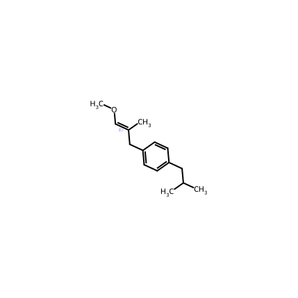 CO/C=C(\C)Cc1ccc(CC(C)C)cc1